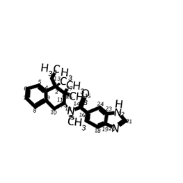 CC[C@@]1(C)c2ccccc2C[C@@H](N(C)C(=O)c2ccc3nc[nH]c3c2)C1(C)C